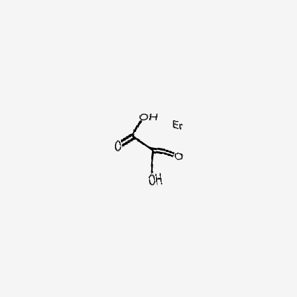 O=C(O)C(=O)O.[Er]